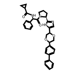 O=C(N[C@@H](C(=O)N1CCC[C@H]1c1ncc(C2COC(c3ccc(-c4ccccc4)cc3)CO2)[nH]1)c1ccccc1)C1CC1